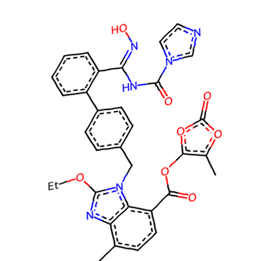 CCOc1nc2c(C)ccc(C(=O)Oc3oc(=O)oc3C)c2n1Cc1ccc(-c2ccccc2C(=NO)NC(=O)n2ccnc2)cc1